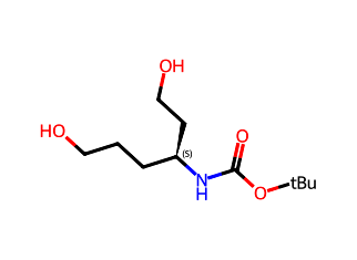 CC(C)(C)OC(=O)N[C@H](CCO)CCCO